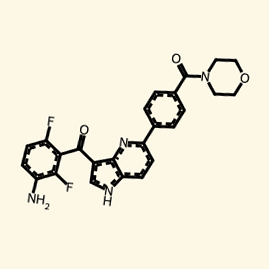 Nc1ccc(F)c(C(=O)c2c[nH]c3ccc(-c4ccc(C(=O)N5CCOCC5)cc4)nc23)c1F